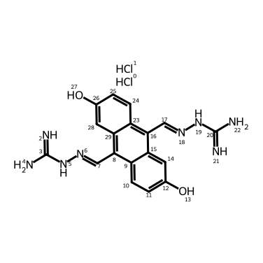 Cl.Cl.N=C(N)NN=Cc1c2ccc(O)cc2c(C=NNC(=N)N)c2ccc(O)cc12